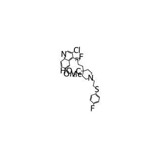 COc1ccc2ncc(Cl)c([C@H](F)CCC3(C(=O)O)CCN(CCSc4ccc(F)cc4)CC3)c2c1